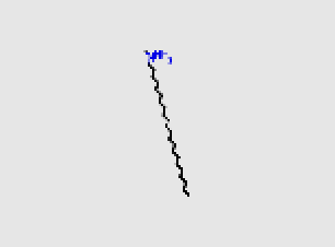 CCCCCCCCCCCCCCCCCCCCCCN(C)N